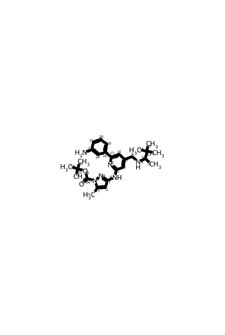 Cc1cc(Nc2cc(CNC(C)C(C)(C)C)cc(-c3cccc(N)c3)n2)nn1C(=O)OC(C)(C)C